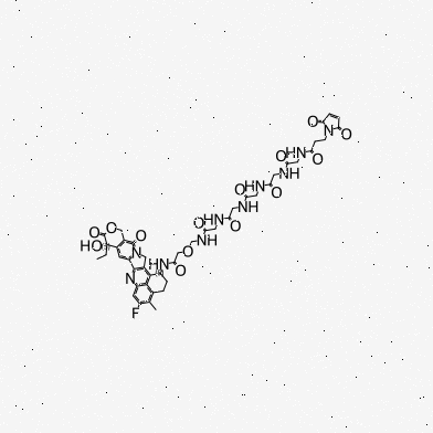 CC[C@@]1(O)C(=O)OCc2c1cc1n(c2=O)Cc2c-1nc1cc(F)c(C)c3c1c2[C@@H](NC(=O)COCNC(=O)CNC(=O)CNC(=O)CNC(=O)CNC(=O)CNC(=O)CCN1C(=O)C=CC1=O)CC3